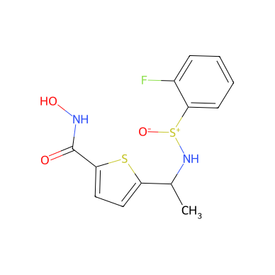 CC(N[S+]([O-])c1ccccc1F)c1ccc(C(=O)NO)s1